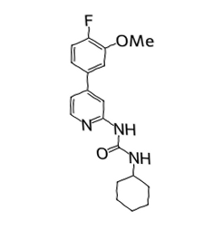 COc1cc(-c2ccnc(NC(=O)NC3CCCCC3)c2)ccc1F